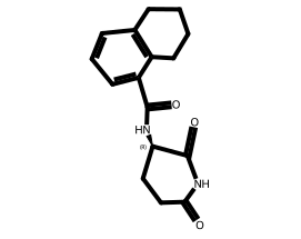 O=C1CC[C@@H](NC(=O)c2cccc3c2CCCC3)C(=O)N1